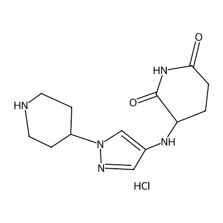 Cl.O=C1CCC(Nc2cnn(C3CCNCC3)c2)C(=O)N1